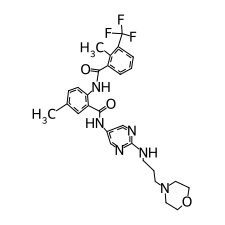 Cc1ccc(NC(=O)c2cccc(C(F)(F)F)c2C)c(C(=O)Nc2cnc(NCCCN3CCOCC3)nc2)c1